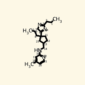 CCCC1=NCC(C2(CCC)CCC(CNc3cc(C)ccn3)C2)=N1